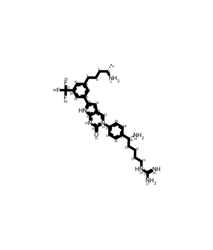 C[C@H](N)CCCc1cc(-c2cc3cn(-c4ccc([C@H](N)CCCCNC(=N)N)cc4)c(=O)nc3[nH]2)cc(C(F)(F)F)c1